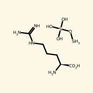 N=C(N)NCCC[C@H](N)C(=O)O.O[Si](O)(O)O[SiH3]